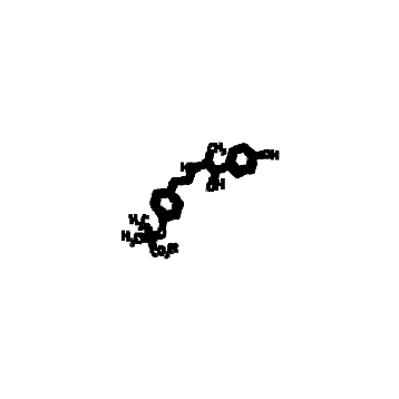 CCOC(=O)C(C)(C)Oc1ccc(CCNC(C)C(O)c2ccc(O)cc2)cc1